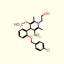 CC1=C(SC(=O)O)C(c2ccccc2OCc2ccc(Cl)cc2)C([N+](=O)[O-])=C(C)N1CCO